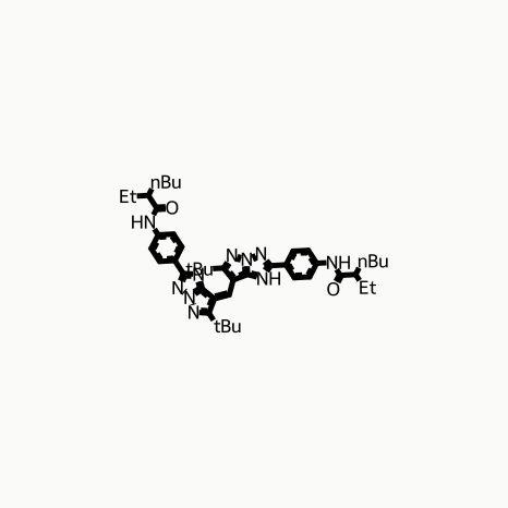 CCCCC(CC)C(=O)Nc1ccc(-c2nc3/c(=C\c4c(C(C)(C)C)nn5nc(-c6ccc(NC(=O)C(CC)CCCC)cc6)[nH]c45)c(C(C)(C)C)nn3n2)cc1